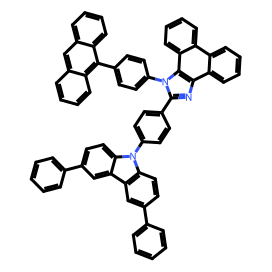 c1ccc(-c2ccc3c(c2)c2cc(-c4ccccc4)ccc2n3-c2ccc(-c3nc4c5ccccc5c5ccccc5c4n3-c3ccc(-c4c5ccccc5cc5ccccc45)cc3)cc2)cc1